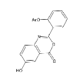 CC(=O)Oc1ccccc1-c1nc2ccc(O)cc2c(=O)o1